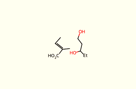 CC=C(C)C(=O)O.CCC(O)CCO